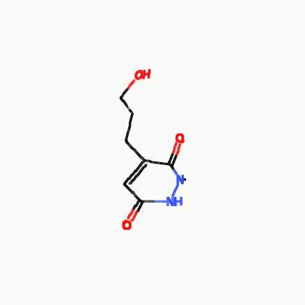 O=C1C=C(CCCO)C(=O)[N]N1